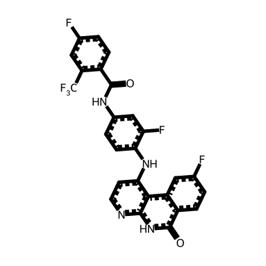 O=C(Nc1ccc(Nc2ccnc3[nH]c(=O)c4ccc(F)cc4c23)c(F)c1)c1ccc(F)cc1C(F)(F)F